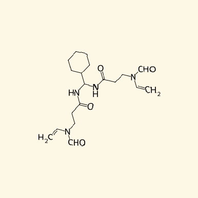 C=CN(C=O)CCC(=O)NC(NC(=O)CCN(C=C)C=O)C1CCCCC1